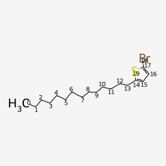 CCCCCCCCCCCCCCc1ccc(Br)s1